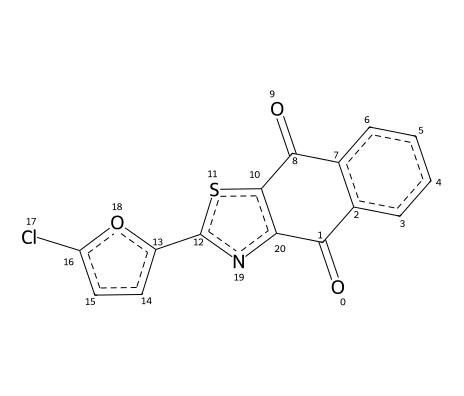 O=C1c2ccccc2C(=O)c2sc(-c3ccc(Cl)o3)nc21